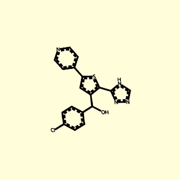 OC(c1ccc(Cl)cc1)c1cc(-c2ccncc2)sc1-c1nnc[nH]1